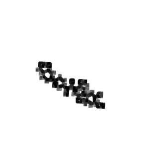 C[C@@H]1CN(C(=O)Nc2ccc(N3CCC(CC=O)CC3)nc2)[C@@H](C)CN1c1ccc(C#N)c(Cl)c1